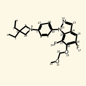 CCC1(CC)CN(c2ccc(-n3ncc4cc(F)c(OCOC)c(F)c43)cc2)C1